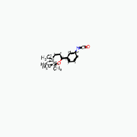 C[Si]1(C)CCC(c2cccc(N=C=O)c2)O[Si]1(C)C